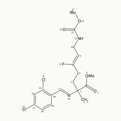 COC(=O)C(C)(CC/C(F)=C/CNC(=O)OC(C)(C)C)/N=C/c1ccc(Cl)cc1Cl